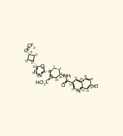 O=C(N[C@@H]1CC[C@@H](c2nnc([C@H]3C[C@@H](OC(F)(F)F)C3)o2)N(C(=O)O)C1)c1cnc2cc(Cl)ccc2c1